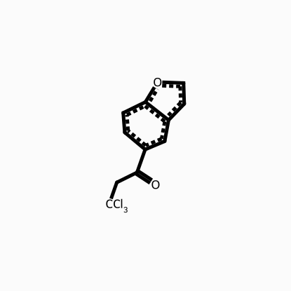 O=C(CC(Cl)(Cl)Cl)c1ccc2occc2c1